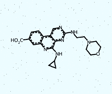 O=C(O)c1ccc2c(c1)nc(NC1CC1)c1nc(NCCN3CCOCC3)ncc12